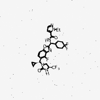 CCn1nccc1C(=O)N[C@H](c1nc2c(F)c([C@@H](C3CC3)N3C[C@@H](C(F)(F)F)NC3=O)ccc2o1)C1CCC(F)(F)CC1